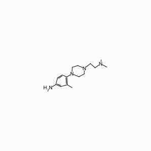 Cc1cc(N)ccc1N1CCN(CCN(C)C)CC1